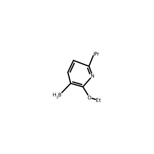 Bc1ccc(C(C)C)nc1OCC